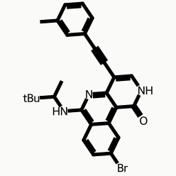 Cc1cccc(C#Cc2c[nH]c(=O)c3c2nc(NC(C)C(C)(C)C)c2ccc(Br)cc23)c1